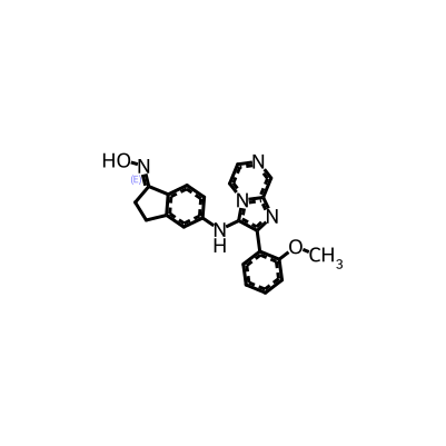 COc1ccccc1-c1nc2cnccn2c1Nc1ccc2c(c1)CC/C2=N\O